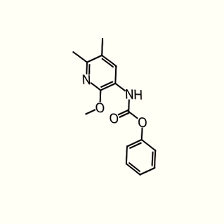 COc1nc(C)c(C)cc1NC(=O)Oc1ccccc1